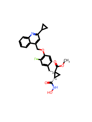 COC(=O)[C@@]1(Cc2ccc(OCc3cc(C4CC4)nc4ccccc34)c(F)c2)C[C@@H]1C(=O)NO